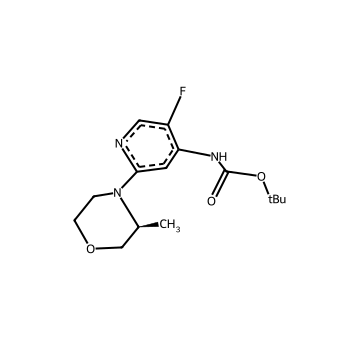 C[C@H]1COCCN1c1cc(NC(=O)OC(C)(C)C)c(F)cn1